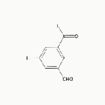 O=Cc1cc(I)cc(C(=O)I)c1